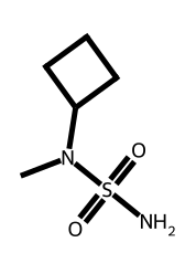 CN(C1CCC1)S(N)(=O)=O